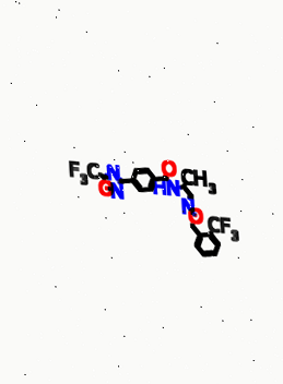 CC(C=NOCc1ccccc1C(F)(F)F)NC(=O)c1ccc(-c2noc(C(F)(F)F)n2)cc1